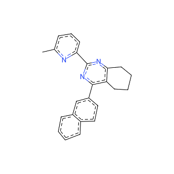 Cc1cccc(-c2nc3c(c(-c4ccc5ccccc5c4)n2)CCCC3)n1